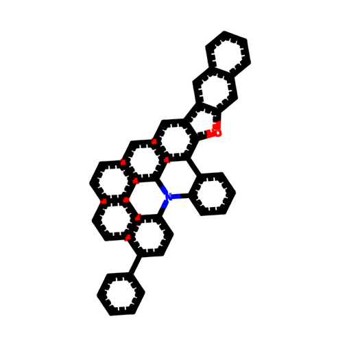 c1ccc(-c2ccc(N(c3ccccc3-c3ccccc3)c3ccccc3-c3cccc4c3oc3cc5ccccc5cc34)c(-c3ccccc3)c2)cc1